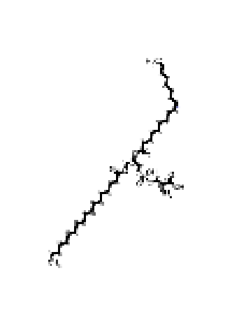 CCCCCCC/C=C\CCCCCCCC(=O)O[C@H](COC(=O)CCCCCCCCCCCCCCCCC)COP(=O)(O)OC[C@H](N)C(=O)O